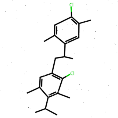 Cc1cc(C(C)Cc2cc(C)c(C(C)C)c(C)c2Cl)c(C)cc1Cl